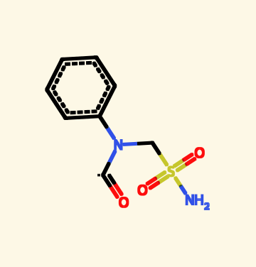 NS(=O)(=O)CN([C]=O)c1ccccc1